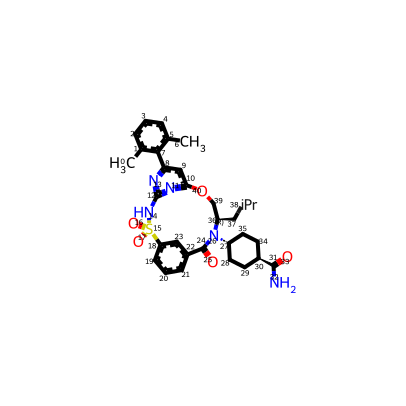 Cc1cccc(C)c1-c1cc2nc(n1)NS(=O)(=O)c1cccc(c1)C(=O)N([C@H]1CC[C@H](C(N)=O)CC1)[C@H](CC(C)C)CO2